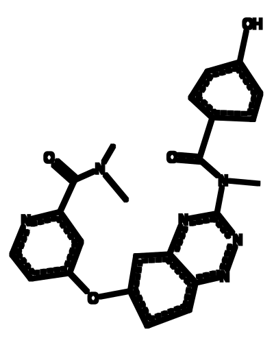 CN(C)C(=O)c1cc(Oc2ccc3nnc(N(C)C(=O)c4ccc(O)cc4)nc3c2)ccn1